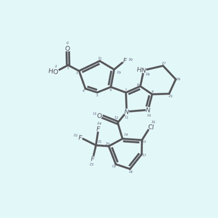 O=C(O)c1ccc(-c2c3c(nn2C(=O)c2c(Cl)cccc2C(F)(F)F)CCCN3)c(F)c1